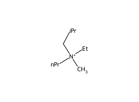 CCC[N+](C)(CC)CC(C)C